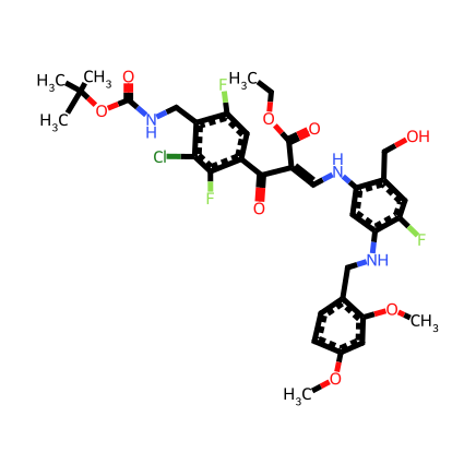 CCOC(=O)/C(=C\Nc1cc(NCc2ccc(OC)cc2OC)c(F)cc1CO)C(=O)c1cc(F)c(CNC(=O)OC(C)(C)C)c(Cl)c1F